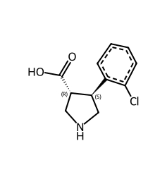 O=C(O)[C@H]1CNC[C@@H]1c1ccccc1Cl